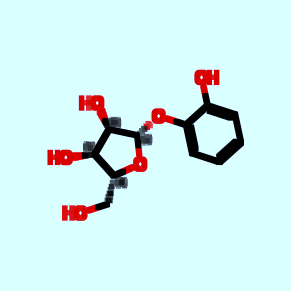 OC[C@H]1O[C@@H](Oc2ccccc2O)[C@H](O)[C@@H]1O